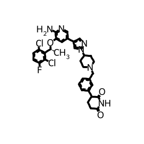 C[C@@H](Oc1cc(-c2cnn(C3CCN(Cc4cccc(C5CCC(=O)NC5=O)c4)CC3)c2)cnc1N)c1c(Cl)ccc(F)c1Cl